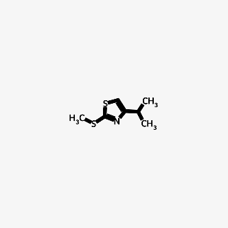 CSc1nc(C(C)C)cs1